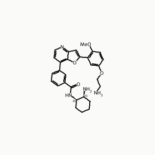 COc1ccc(OCCN)cc1-c1cc2nccc(-c3cccc(C(=O)N[C@@H]4CCCC[C@@H]4N)c3)c2o1